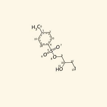 Cc1ccc(S(=O)(=O)OCC(O)CI)cc1